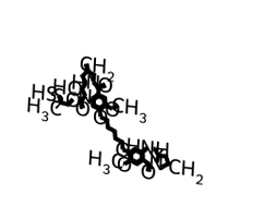 C=C1C[C@H]2CNc3cc(OCCCCCOc4cc5c(cc4OC)C(=O)N4CC(=C)C[C@H]4[C@H](O)N5C(=O)OC[C@@H](C)SS)c(OC)cc3C(=O)N2C1